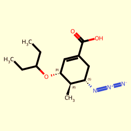 CCC(CC)O[C@@H]1C=C(C(=O)O)C[C@H](N=[N+]=[N-])[C@H]1C